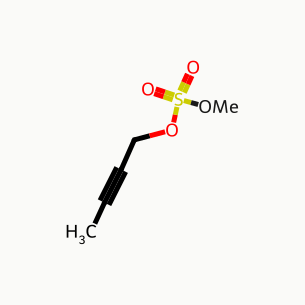 CC#CCOS(=O)(=O)OC